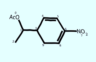 CC(=O)OC(C)[C]1C=CC([N+](=O)[O-])=CC1